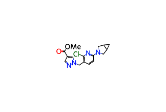 COC(=O)c1cnn(Cc2ccc(N3CC4CC4C3)nc2Cl)c1